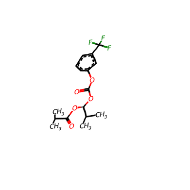 CC(C)C(=O)O[C@@H](OC(=O)Oc1cccc(C(F)(F)F)c1)C(C)C